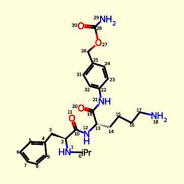 CC(C)N[C@@H](Cc1ccccc1)C(=O)N[C@@H](CCCCN)C(=O)Nc1ccc(COC(N)=O)cc1